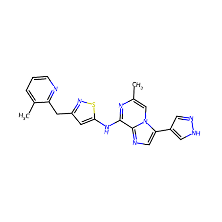 Cc1cn2c(-c3cn[nH]c3)cnc2c(Nc2cc(Cc3ncccc3C)ns2)n1